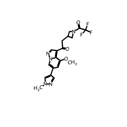 COc1cc(-c2cnn(C)c2)cn2ncc(C(=O)CC3CN(C(=O)C(F)(F)F)C3)c12